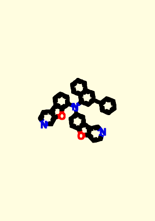 c1ccc(-c2cc(N(c3ccc4oc5ccncc5c4c3)c3cccc4c3oc3cnccc34)c3ccccc3c2)cc1